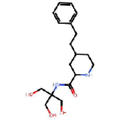 O=C(NC(CO)(CO)CO)C1CC(CCc2ccccc2)CCN1